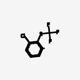 FC(F)(F)Sc1[c]cccc1Cl